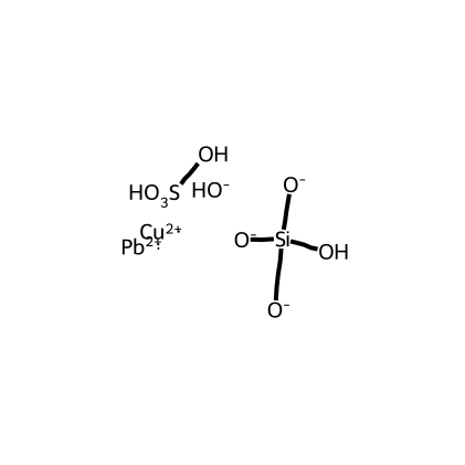 O=S(=O)(O)O.[Cu+2].[O-][Si]([O-])([O-])O.[OH-].[Pb+2]